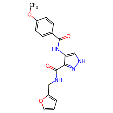 O=C(Nc1c[nH]nc1C(=O)NCc1ccco1)c1ccc(OC(F)(F)F)cc1